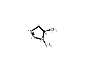 C[C@@H]1CN=NN1C